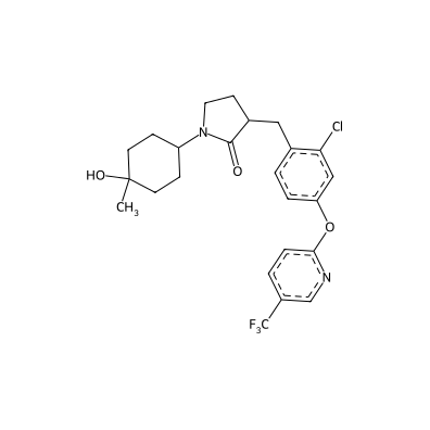 CC1(O)CCC(N2CCC(Cc3ccc(Oc4ccc(C(F)(F)F)cn4)cc3Cl)C2=O)CC1